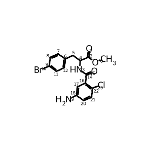 COC(=O)C(Cc1ccc(Br)cc1)NC(=O)c1cc(N)ccc1Cl